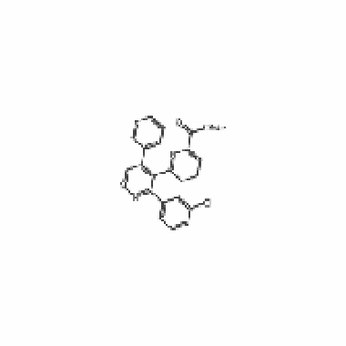 COC(=O)C1=CCCC(c2c(-c3ccccc3)cnnc2-c2cccc(Cl)c2)=N1